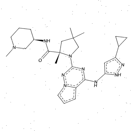 CN1CCC[C@@H](NC(=O)[C@]2(C)CC(C)(C)CN2c2nc(Nc3cc(C4CC4)n[nH]3)c3cccn3n2)C1